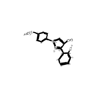 O=Cc1cn(-c2ccc(C(=O)O)cc2)nc1-c1ccccc1Cl